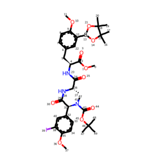 COC(=O)[C@H](Cc1ccc(OC)c(B2OC(C)(C)C(C)(C)O2)c1)NC(=O)[C@H](C)NC(=O)[C@H](c1ccc(OC)c(I)c1)N(C)C(=O)OC(C)(C)C